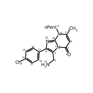 CCCCCn1c(C)cc(=O)n2c(CN)c(-c3ccc(Cl)cc3)nc12